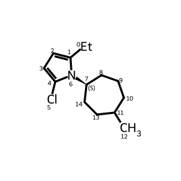 CCc1ccc(Cl)n1[C@H]1CCCC(C)CC1